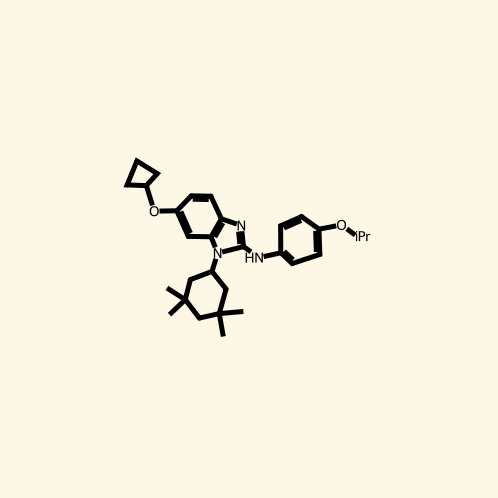 CC(C)Oc1ccc(Nc2nc3ccc(OC4CCC4)cc3n2C2CC(C)(C)CC(C)(C)C2)cc1